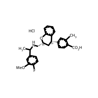 COc1cc(C(C)NC[C@H]2C[C@@H](c3ccc(C(=O)O)c(C)c3)c3ccccc3O2)ccc1F.Cl